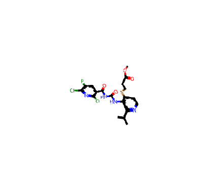 COC(=O)CCSc1ccnc(C(C)C)c1NC(=O)NC(=O)c1cc(F)c(Cl)nc1Cl